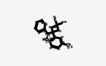 O[C@H](c1ccccn1)C1(c2cc(C(F)(F)F)ccn2)CC(F)(F)C1